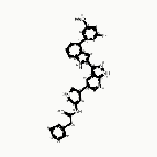 COc1cc(F)cc(-c2cccc3[nH]c(-c4n[nH]c5ncc(-c6cncc(NC(=O)Cc7ccccc7)c6)cc45)cc23)c1